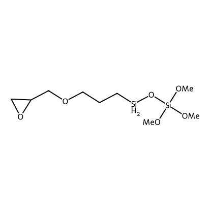 CO[Si](OC)(OC)O[SiH2]CCCOCC1CO1